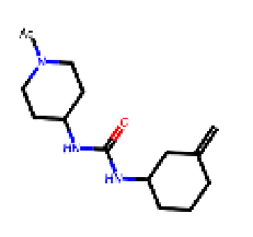 C=C1CCCC(NC(=O)NC2CCN(C(C)=O)CC2)C1